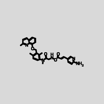 Cc1ccc2cccc(OCc3c(C)ccc(N(C)C(=O)CNOC(=O)C=Cc4ccc(N)nc4)c3C)c2n1